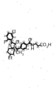 CCC1CCC2(CC1)N=C(c1cc(Cl)ccc1F)C(=O)N2[C@H](C)c1ccc(C(=O)NCCC(=O)O)cc1